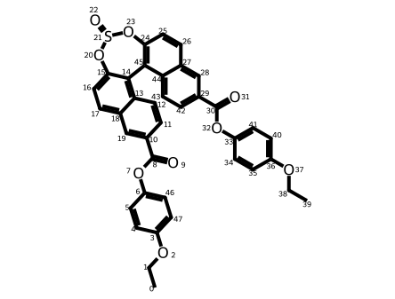 CCOc1ccc(OC(=O)c2ccc3c4c(ccc3c2)OS(=O)Oc2ccc3cc(C(=O)Oc5ccc(OCC)cc5)ccc3c2-4)cc1